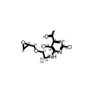 CC(=O)c1nc(Cl)nc(N[C@H](C)COCC2CO2)c1Cl